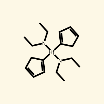 CC[N](CC)[Hf]([C]1=CC=CC1)([C]1=CC=CC1)[N](CC)CC